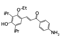 CCOc1c(/C=C/C(=O)c2ccc(N)cc2)cc(C(C)C)c(O)c1C(C)C